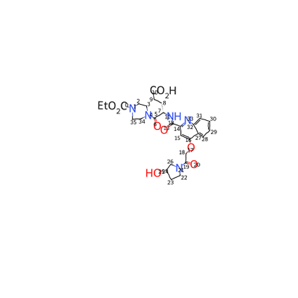 CCOC(=O)N1CCN(C(=O)[C@H](CCC(=O)O)NC(=O)c2cc(OCC(=O)N3CC[C@H](O)C3)c3ccccc3n2)CC1